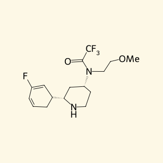 COCCN(C(=O)C(F)(F)F)[C@@H]1CCN[C@H](C2C=C(F)C=CC2)C1